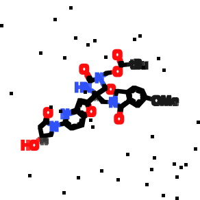 COc1ccc2c(c1)C(=O)N(C[C@@]1(c3cc4nc(N5C[C@H](O)CC5=O)ccc4o3)NC(=O)N(COC(=O)C(C)(C)C)C1=O)C2